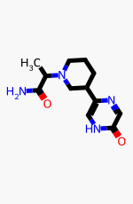 CC(C(N)=O)N1CCCC(c2c[nH]c(=O)cn2)C1